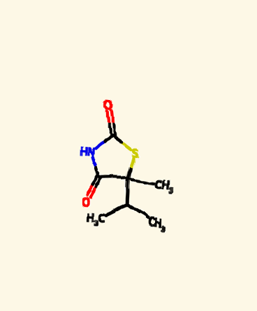 CC(C)C1(C)SC(=O)NC1=O